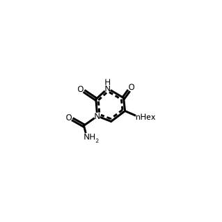 CCCCCCc1cn(C(N)=O)c(=O)[nH]c1=O